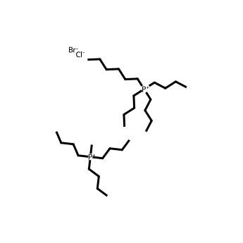 CCCCCC[P+](CCCC)(CCCC)CCCC.CCCC[P+](C)(CCCC)CCCC.[Br-].[Cl-]